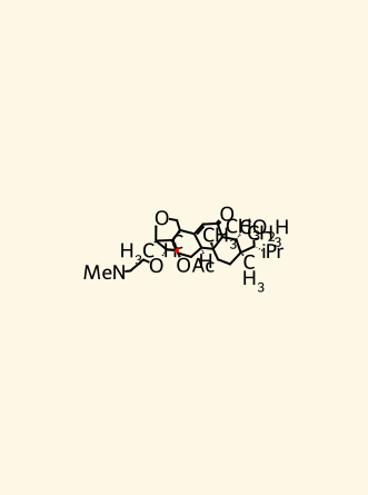 CNCCO[C@H]1[C@H](OC(C)=O)C[C@@]23COC[C@@]1(C)[C@@H]2CC[C@H]1C3=CC(=O)[C@@]2(C)[C@H](C(=O)O)[C@@](C)([C@H](C)C(C)C)CC[C@]12C